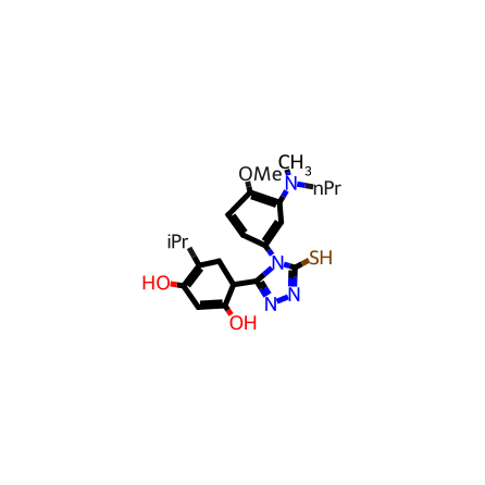 CCCN(C)c1cc(-n2c(S)nnc2C2CC(C(C)C)=C(O)C=C2O)ccc1OC